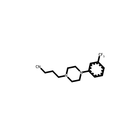 [C-]#[N+]CCCN1CCN(c2cccc(C(F)(F)F)c2)CC1